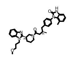 COCCCn1c([C@@H]2CCCN(C(=O)C[C@H](C)Cc3ccc(-n4c(=O)[nH]c5cccc(C)c54)cc3)C2)nc2ccccc21